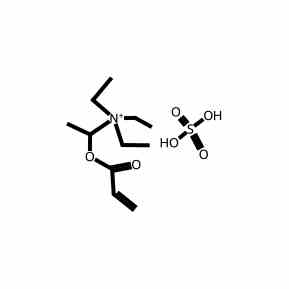 C=CC(=O)OC(C)[N+](CC)(CC)CC.O=S(=O)(O)O